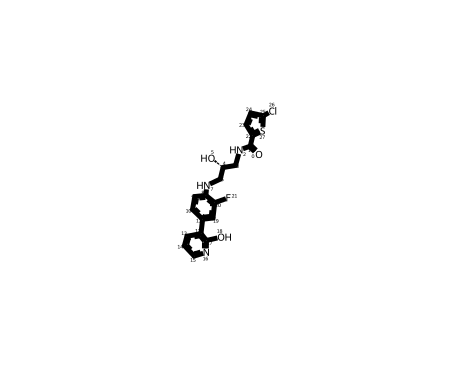 O=C(NC[C@@H](O)CNc1ccc(-c2cccnc2O)cc1F)c1ccc(Cl)s1